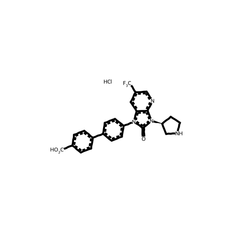 Cl.O=C(O)c1ccc(-c2ccc(-n3c(=O)n([C@H]4CCNC4)c4ncc(C(F)(F)F)cc43)cc2)cc1